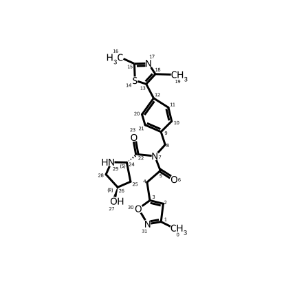 Cc1cc(CC(=O)N(Cc2ccc(-c3sc(C)nc3C)cc2)C(=O)[C@@H]2C[C@@H](O)CN2)on1